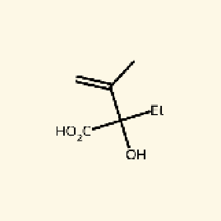 C=C(C)C(O)(CC)C(=O)O